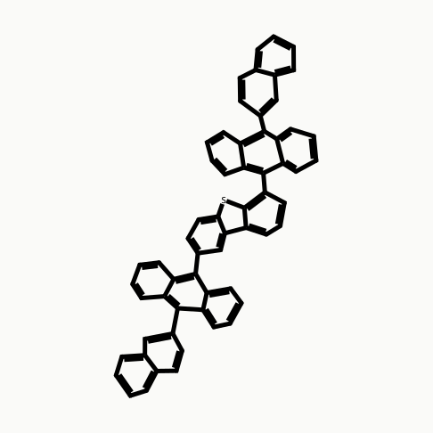 c1ccc2cc(-c3c4ccccc4c(-c4ccc5sc6c(-c7c8ccccc8c(-c8ccc9ccccc9c8)c8ccccc78)cccc6c5c4)c4ccccc34)ccc2c1